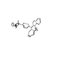 CP(C)(=O)c1ccc(-c2c3ccccc3nc3c2ccc2ccccc23)cc1